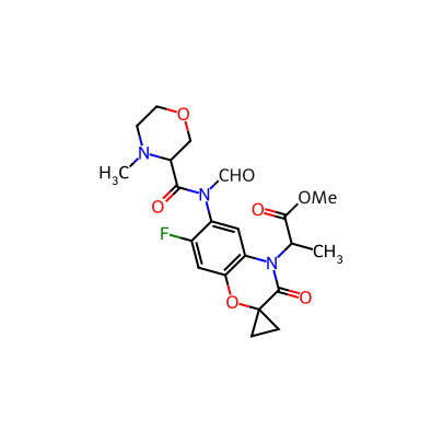 COC(=O)C(C)N1C(=O)C2(CC2)Oc2cc(F)c(N(C=O)C(=O)C3COCCN3C)cc21